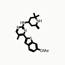 C=C1CC(Nc2ncc(C)c(-c3cc4ccc(OC)cc4s3)n2)CC(C)(C)N1